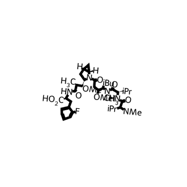 CCC(C)C(C(CC(=O)N1[C@H](C(OC)[C@@H](C)C(=O)N[C@@H](Cc2ccccc2F)C(=O)O)C[C@@H]2C[C@@H]21)OC)N(C)C(=O)[C@@H](NC(=O)C(NC)C(C)C)C(C)C